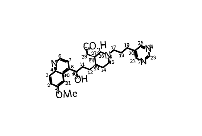 COc1ccc2nccc([C@H](O)CC[C@@H]3CCN(CCCc4cncnc4)C[C@@H]3CC(=O)O)c2c1